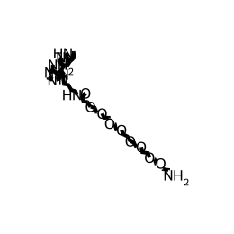 NCCOCCOCCOCCOCCOCCOCCOCCOCCC(=O)NCCCCn1nc(-c2cnc3[nH]ccc3c2)c2c(N)ncnc21